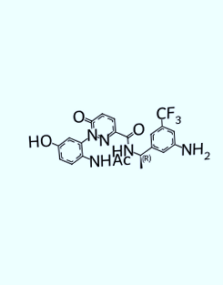 CC(=O)Nc1ccc(O)cc1-n1nc(C(=O)N[C@H](C)c2cc(N)cc(C(F)(F)F)c2)ccc1=O